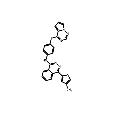 Cc1csc(-c2nnc(Nc3ccc(Sc4ncnn5cccc45)cc3)c3ccccc23)c1